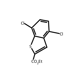 CCOC(=O)c1cc2c(Cl)ccc(Cl)c2s1